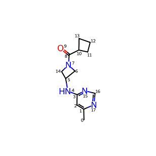 Cc1cc(NC2CN(C(=O)C3CCC3)C2)ncn1